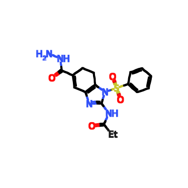 CCC(=O)Nc1nc2c(n1S(=O)(=O)c1ccccc1)CCC(C(=O)NN)=C2